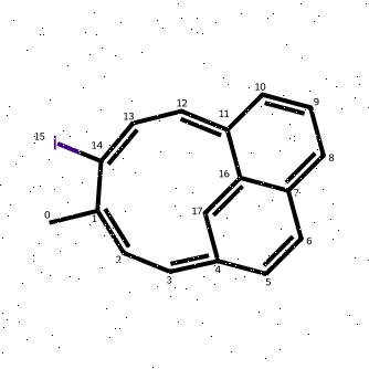 Cc1ccc2ccc3cccc(ccc1I)c3c2